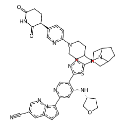 N#Cc1cnn2c(-c3cc(N[C@@H]4CCOC4)c(-c4nnc(N5CC6CCC(C5)N6CC5CCN(c6ccc([C@@H]7CCC(=O)NC7=O)cn6)CC5)s4)cn3)ccc2c1